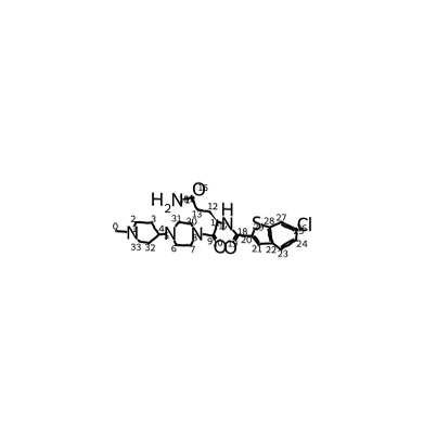 CN1CCC(N2CCN(C(=O)[C@@H](CCC(N)=O)NC(=O)c3cc4ccc(Cl)cc4s3)CC2)CC1